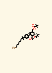 CC(C)(C)C(=O)OCC1=CC[C@@]2(O[Si](C)(C)C(C)(C)C)[C@H](C1)c1ccc(C(C)(C)CCCCCCBr)cc1OC2(C)C